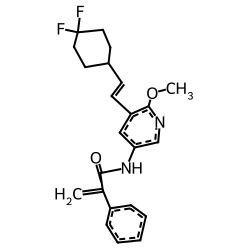 C=C(C(=O)Nc1cnc(OC)c(C=CC2CCC(F)(F)CC2)c1)c1ccccc1